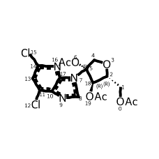 CC(=O)OC[C@H]1OC[C@](OC(C)=O)(n2cnc3c(Cl)cc(Cl)nc32)[C@@H]1OC(C)=O